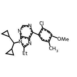 CCc1nc2c(-c3cc(C)c(OC)cc3Cl)ncnc2n1C(C1CC1)C1CC1